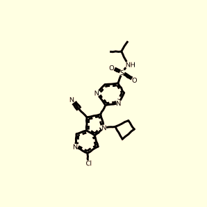 CC(C)NS(=O)(=O)c1cnc(-c2c(C#N)c3cnc(Cl)cc3n2C2CCC2)nc1